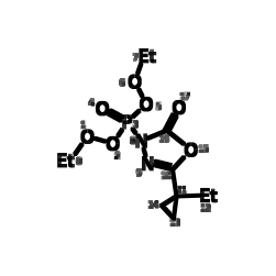 CCOOP(=O)(OOCC)n1nc(C2(CC)CC2)oc1=O